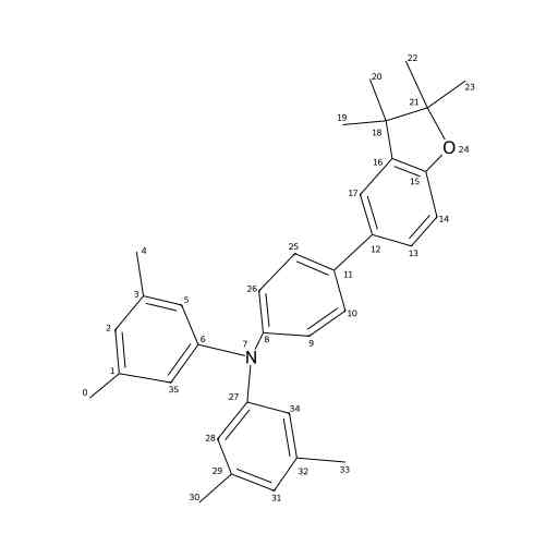 Cc1cc(C)cc(N(c2ccc(-c3ccc4c(c3)C(C)(C)C(C)(C)O4)cc2)c2cc(C)cc(C)c2)c1